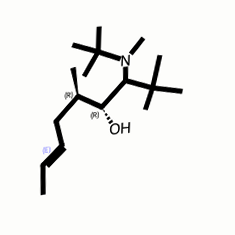 C/C=C/C[C@@H](C)[C@@H](O)C(N(C)C(C)(C)C)C(C)(C)C